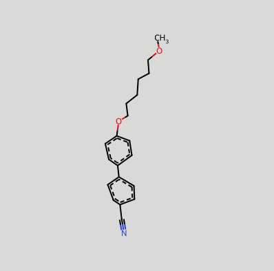 COCCCCCCOc1ccc(-c2ccc(C#N)cc2)cc1